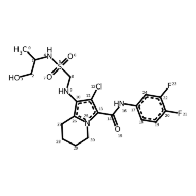 CC(CO)NS(=O)(=O)CNc1c(Cl)c(C(=O)Nc2ccc(F)c(F)c2)n2c1CCCC2